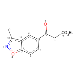 CCOC(=O)CC(=O)c1ccc2onc(C)c2c1